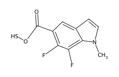 Cn1ccc2cc(C(=O)OS)c(F)c(F)c21